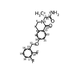 C[C@H](C(N)=O)N1CCc2cc(OCc3cccc(F)c3F)ccc2C1=O